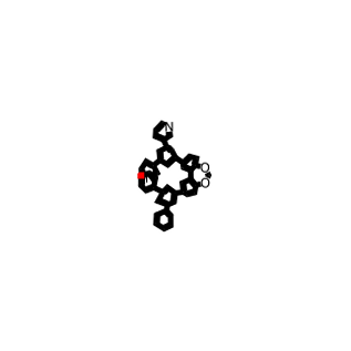 c1ccc(-c2cc(-c3ccccc3)cc(-c3ccc4c(c3)-c3cc(-c5cc(-c6cccnc6)cc(-c6cccnc6)c5)ccc3OCO4)c2)cc1